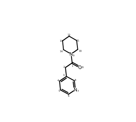 O=C(Cc1cccnc1)N1CCCCC1